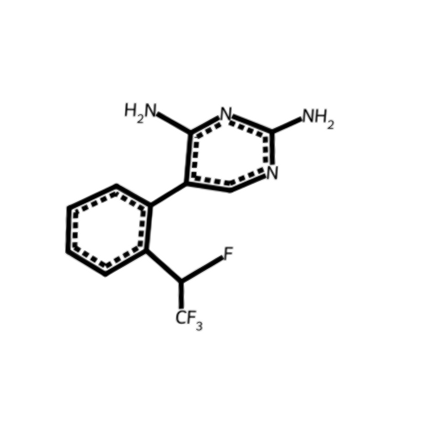 Nc1ncc(-c2ccccc2C(F)C(F)(F)F)c(N)n1